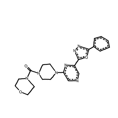 O=C(N1CCOCC1)N1CCN(c2cncc(-c3nnc(-c4ccccc4)o3)n2)CC1